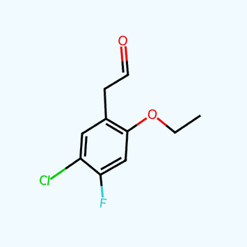 CCOc1cc(F)c(Cl)cc1CC=O